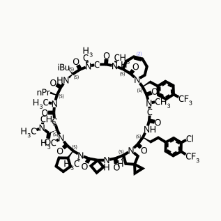 CCC[C@H]1C(=O)N[C@@H]([C@@H](C)CC)C(=O)N(C)CC(=O)N(C)[C@H]2C/C=C\CCN(C2=O)[C@@H](Cc2ccc(C(F)(F)F)cc2)C(=O)N(C)CC(=O)N[C@@H](CCc2ccc(C(F)(F)F)c(Cl)c2)C(=O)N2CC3(CC3)C[C@H]2C(=O)NC2(CCC2)C(=O)N(C)[C@@H](C2CCCC2)C(=O)N(C)[C@H](C(=O)N(C)C)CC(=O)N1C